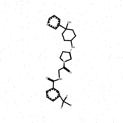 O=C(NCC(=O)N1CC[C@H](NC2CCC(O)(c3cccnc3)CC2)C1)c1cccc(C(F)(F)F)c1